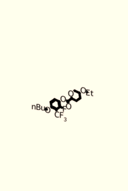 CCCCOc1ccc(OC(=O)C2CCC(OCC)CO2)c(F)c1C(F)(F)F